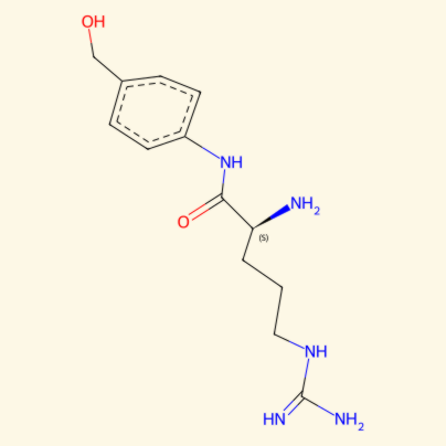 N=C(N)NCCC[C@H](N)C(=O)Nc1ccc(CO)cc1